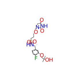 C[C@@H](NS(=O)(=O)CCCOCN1CC(=O)NC1=O)c1ccc(F)c(OCC(C)(C)O)c1